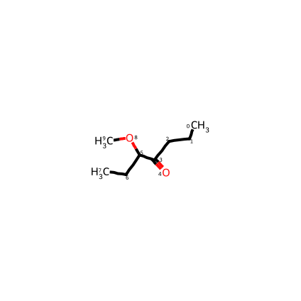 CCCC(=O)C(CC)OC